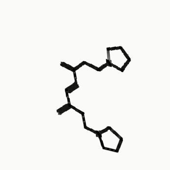 C=C(C=CC(=C)CCN1CCCC1)CCN1CCCC1